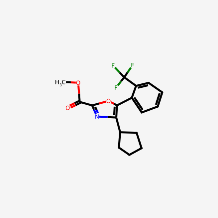 COC(=O)c1nc(C2CCCC2)c(-c2ccccc2C(F)(F)F)o1